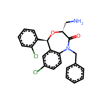 NC[C@H]1O[C@H](c2ccccc2Cl)c2cc(Cl)ccc2N(Cc2ccccc2)C1=O